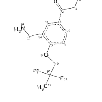 CCC(=O)c1ccc(OCC(C)(F)F)c(CN)c1